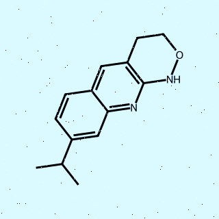 CC(C)c1ccc2cc3c(nc2c1)NOCC3